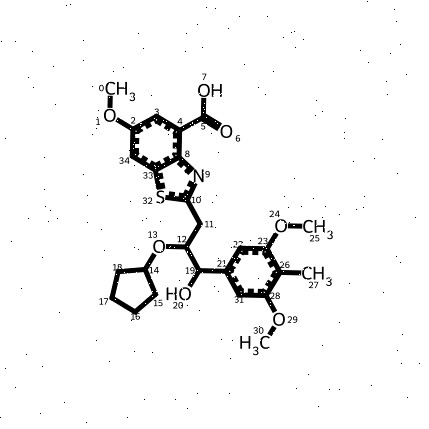 COc1cc(C(=O)O)c2nc(CC(OC3CCCC3)C(O)c3cc(OC)c(C)c(OC)c3)sc2c1